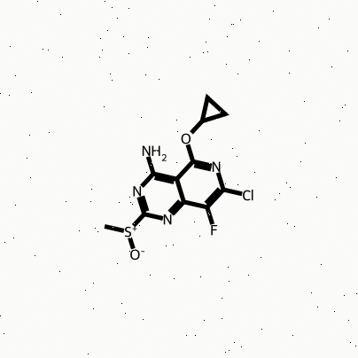 C[S+]([O-])c1nc(N)c2c(OC3CC3)nc(Cl)c(F)c2n1